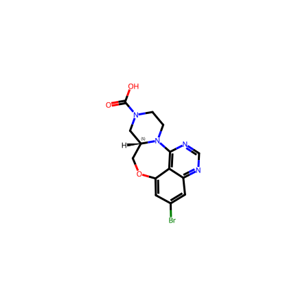 O=C(O)N1CCN2c3ncnc4cc(Br)cc(c34)OC[C@@H]2C1